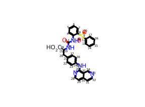 O=C(Nc1ccccc1S(=O)(=O)c1ccccc1)N[C@@H](Cc1ccc(Nc2nccc3ccncc23)cc1)C(=O)O